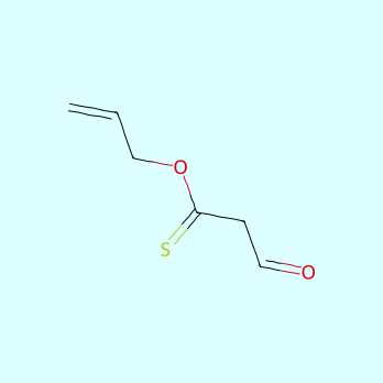 C=CCOC(=S)CC=O